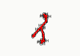 O=N[C@](CC[C@H](C[C@H](O)CCO)NC(=O)CO)(SCCOCCOCc1cn(CCOCCOCCCNCCCC(=O)N[C@@H](CCCCNC(=O)CCOCCOCCn2cc(COCCOCCS[C@@]3(C(=O)O)CC[C@@H](NC(=O)CO)[C@H]([C@H](O)CCO)O3)nn2)CNCC(=O)NCCOCCOCCOCCOCCC(=O)Oc2c(F)c(F)c(F)c(F)c2F)nn1)C(=O)O